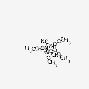 Cc1ccc(-c2ccc3c(c2)c2cc(-c4ccc(C)cc4)ccc2n3-c2cc(C#N)cc(-n3c4ccc(-c5ccc(C)cc5)cc4c4cc(-c5ccc(C)cc5)ccc43)c2-c2ccc(C#N)cc2C(F)(F)F)cc1